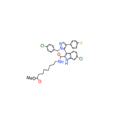 COC(=O)CCCCCCCNC(=O)c1[nH]c2cc(Cl)ccc2c1-c1c(-c2ccc(F)cc2)cnn1Cc1ccc(Cl)cc1